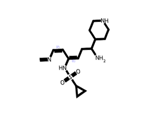 C=N/C=C\C(=C/CC(N)C1CCNCC1)NS(=O)(=O)C1CC1